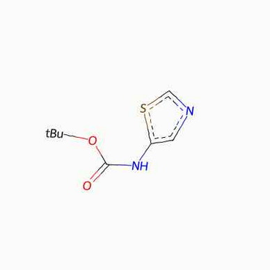 CC(C)(C)OC(=O)Nc1cncs1